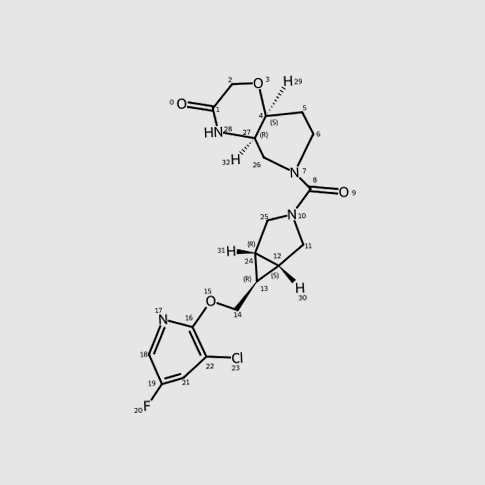 O=C1CO[C@H]2CCN(C(=O)N3C[C@@H]4[C@@H](COc5ncc(F)cc5Cl)[C@@H]4C3)C[C@H]2N1